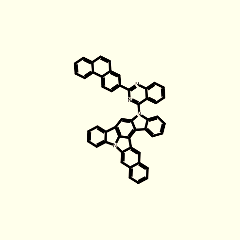 c1ccc2cc3c(cc2c1)c1c2c4ccccc4n(-c4nc(-c5ccc6c(ccc7ccccc76)c5)nc5ccccc45)c2cc2c4ccccc4n3c21